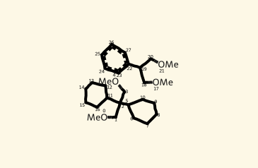 COCC(COC)(C1CCCCC1)C1CCCCC1.COCC(COC)c1ccccc1